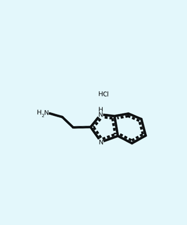 Cl.NCCc1nc2ccccc2[nH]1